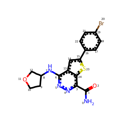 NC(=O)c1nnc(NC2CCOC2)c2cc(-c3ccc(Br)cc3)sc12